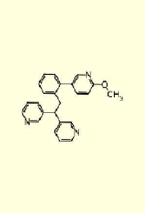 COc1ccc(-c2ccccc2CC(c2cccnc2)c2cccnc2)cn1